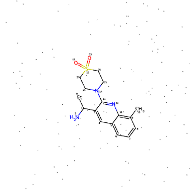 CCC(N)c1cc2cccc(C)c2nc1N1CCS(=O)(=O)CC1